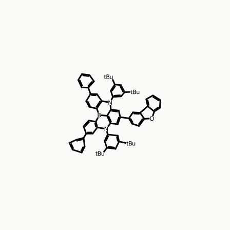 CC(C)(C)c1cc(N2c3cc(-c4ccccc4)ccc3B3c4ccc(-c5ccccc5)cc4N(c4cc(C(C)(C)C)cc(C(C)(C)C)c4)c4cc(-c5ccc6oc7ccccc7c6c5)cc2c43)cc(C(C)(C)C)c1